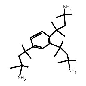 CC(C)(N)CC(C)(C)c1ccc(C(C)(C)CC(C)(C)N)c(C(C)(C)CC(C)(C)N)c1